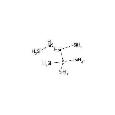 [SiH3][SiH2][SiH]([SiH3])[Si]([SiH3])([SiH3])[SiH3]